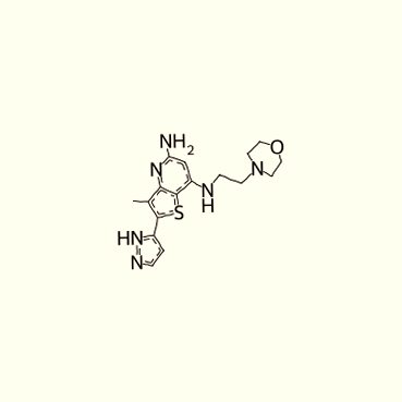 Cc1c(-c2ccn[nH]2)sc2c(NCCN3CCOCC3)cc(N)nc12